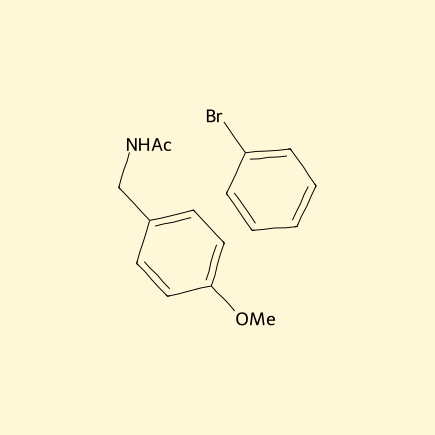 Brc1ccccc1.COc1ccc(CNC(C)=O)cc1